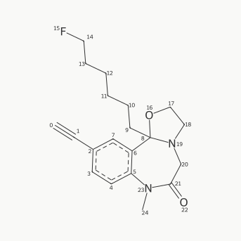 C#Cc1ccc2c(c1)C1(CCCCCCF)OCCN1CC(=O)N2C